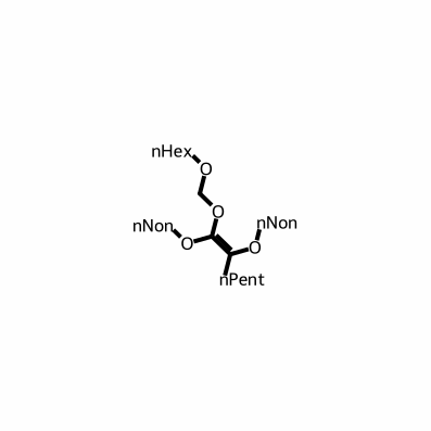 CCCCCCCCCOC(CCCCC)=C(OCCCCCCCCC)OCOCCCCCC